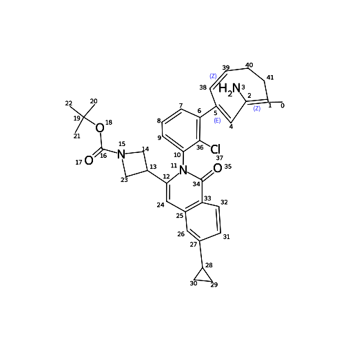 C\C1=C(N)/C=C(c2cccc(-n3c(C4CN(C(=O)OC(C)(C)C)C4)cc4cc(C5CC5)ccc4c3=O)c2Cl)\C=C/CC1